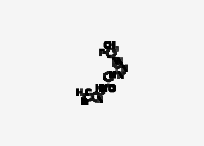 Cc1ccc(-n2cc3c(N4CCC[C@@H](C(=O)NCc5cc(C)c(Br)cn5)C4)ncnc3n2)cc1F